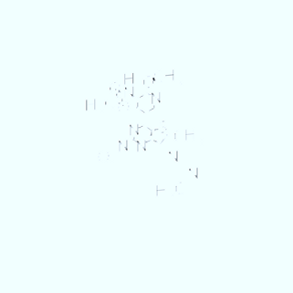 COc1ncc(-c2nc(N3CCOCC3)nc3c(CN4CCC(N5CCC[C@H]5C)C4)c(C)sc23)cc1NS(C)(=O)=O